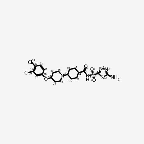 Nc1nnc(S(=O)(=O)NC(=O)C2CCC(N3CCC(Oc4ccc(Cl)c(Cl)c4)CC3)CC2)s1